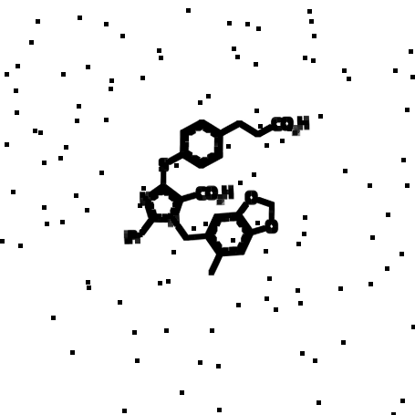 Cc1cc2c(cc1Cn1c(C(C)C)nc(Sc3ccc(CCC(=O)O)cc3)c1C(=O)O)OCO2